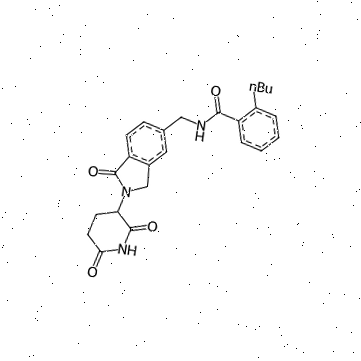 CCCCc1ccccc1C(=O)NCc1ccc2c(c1)CN(C1CCC(=O)NC1=O)C2=O